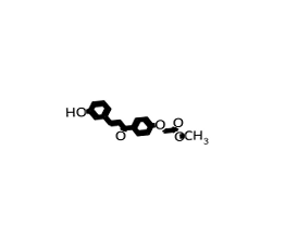 COC(=O)COc1ccc(C(=O)C=Cc2cccc(O)c2)cc1